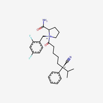 CC(C)[C@@](C#N)(CCCCC(=O)[N@@+]1(Cc2ccc(F)cc2F)CCCC1C(N)=O)c1ccccc1